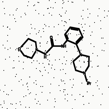 CC(C)N1CCN(c2ccccc2NC(=O)NN2CCOCC2)CC1